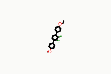 CCOc1ccc(-c2ccc(-c3ccc(OC)cc3)c(F)c2F)cc1